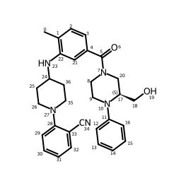 Cc1ccc(C(=O)N2CCN(c3ccccc3)[C@H](CO)C2)cc1NC1CCN(c2ccccc2C#N)CC1